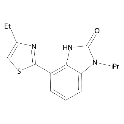 CCc1csc(-c2cccc3c2[nH]c(=O)n3C(C)C)n1